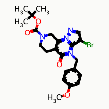 COc1ccc(Cn2c(=O)c3c(n4ncc(Br)c24)CN(C(=O)OC(C)(C)C)CC3)cc1